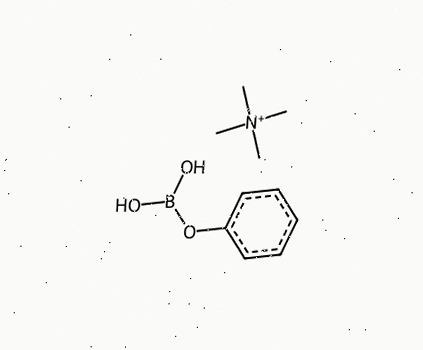 C[N+](C)(C)C.OB(O)Oc1ccccc1